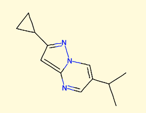 CC(C)c1cnc2cc(C3CC3)nn2c1